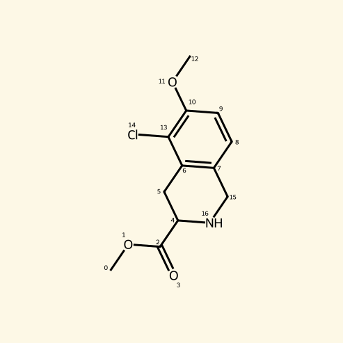 COC(=O)C1Cc2c(ccc(OC)c2Cl)CN1